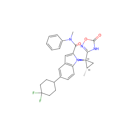 C[C@H]1C[C@]1(c1noc(=O)[nH]1)n1c(C(=O)N(C)c2ccccc2)cc2cc(C3CCC(F)(F)CC3)ccc21